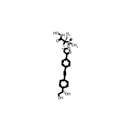 C[C@@](C[C@H]1CC(c2ccc(C#Cc3ccc([C@H](O)CO)cc3)cc2)=NO1)(C(=O)NO)S(C)(=O)=O